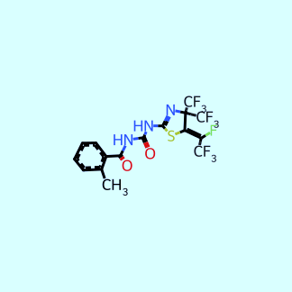 Cc1ccccc1C(=O)NC(=O)NC1=NC(C(F)(F)F)(C(F)(F)F)C(=C(F)C(F)(F)F)S1